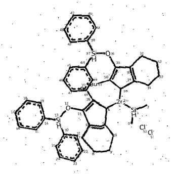 C[SiH](C)[Zr+2]([CH]1C2=C(CCCC2)C(O[SiH](c2ccccc2)c2ccccc2)=C1C(C)(C)C)[CH]1C2=C(CCCC2)C(O[SiH](c2ccccc2)c2ccccc2)=C1C(C)(C)C.[Cl-].[Cl-]